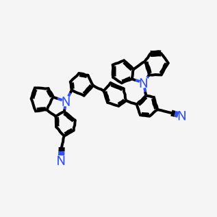 N#Cc1ccc(-c2ccc(-c3cccc(-n4c5ccccc5c5cc(C#N)ccc54)c3)cc2)c(-n2c3ccc#cc3c3ccccc32)c1